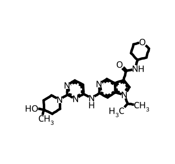 CC(C)n1cc(C(=O)NC2CCOCC2)c2cnc(Nc3ccnc(N4CCC(C)(O)CC4)n3)cc21